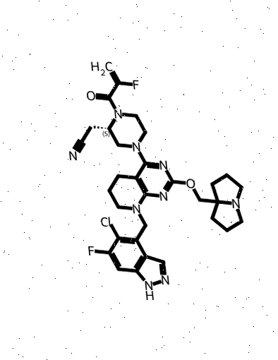 C=C(F)C(=O)N1CCN(c2nc(OCC34CCCN3CCC4)nc3c2CCCN3Cc2c(Cl)c(F)cc3[nH]ncc23)C[C@@H]1CC#N